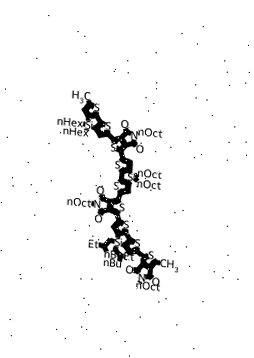 CCCCCCCCN1C(=O)c2c(C)sc(-c3cc4c(s3)-c3sc(-c5sc(-c6cc7c(s6)-c6sc(-c8sc(-c9cc%10c(s9)-c9sc(C)cc9[Si]%10(CCCCCC)CCCCCC)c9c8C(=O)N(CCCCCCCC)C9=O)cc6[Si]7(CCCCCCCC)CCCCCCCC)c6c5C(=O)N(CCCCCCCC)C6=O)cc3[Si]4(CC(CC)CCCC)CC(CC)CCCC)c2C1=O